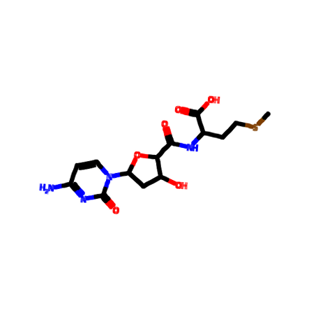 CSCCC(NC(=O)C1OC(n2ccc(N)nc2=O)CC1O)C(=O)O